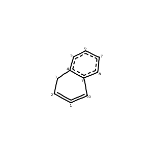 [C]1=C=CCc2ccccc21